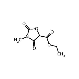 CCOC(=O)C1OC(=O)N(C)C1=O